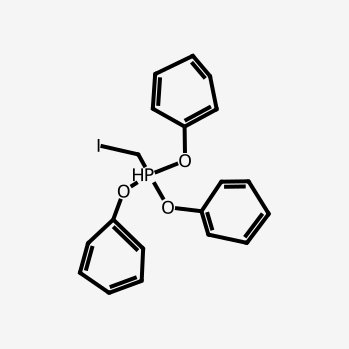 IC[PH](Oc1ccccc1)(Oc1ccccc1)Oc1ccccc1